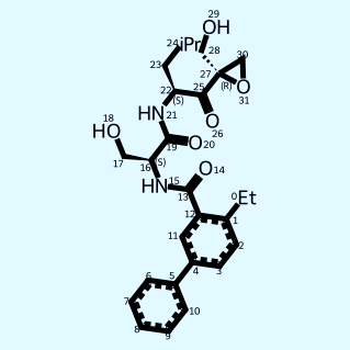 CCc1ccc(-c2ccccc2)cc1C(=O)N[C@@H](CO)C(=O)N[C@@H](CC(C)C)C(=O)[C@@]1(CO)CO1